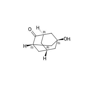 O=C1[C@@H]2C[C@H]3C[C@H]1C[C@@](O)(C3)C2